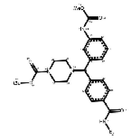 CCNC(=O)c1ccc(C(c2cccc(NC(=O)OC)c2)N2CCN(C(=O)OC(C)(C)C)CC2)cc1